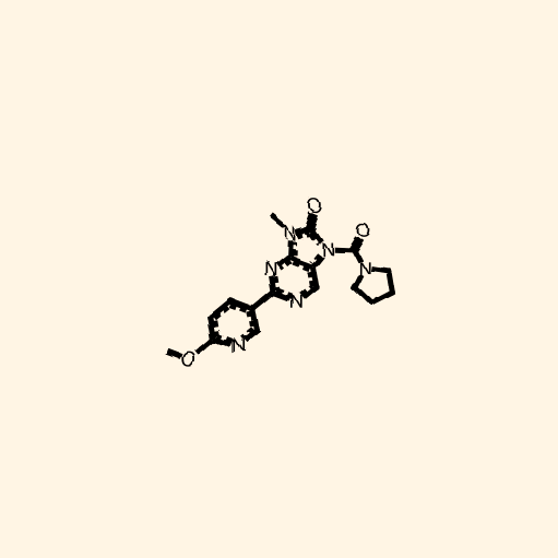 COc1ccc(-c2ncc3c(n2)n(C)c(=O)n3C(=O)N2CCCC2)cn1